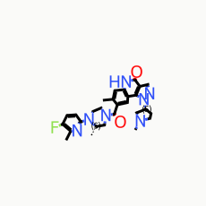 Cc1cc2[nH]c(=O)c3cnn([C@H]4CCN(C)C4)c3c2cc1C(=O)N1CCN(c2ccc(F)c(C)n2)[C@@H](C)C1